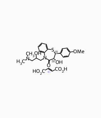 COc1ccc([C@@H]2Sc3ccccc3N(CC(O)CN(C)C)C(=O)[C@@H]2O)cc1.O=C(O)/C=C/C(=O)O